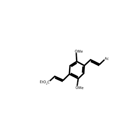 CCOC(=O)/C=C/c1cc(OC)c(/C=C/C(C)=O)cc1OC